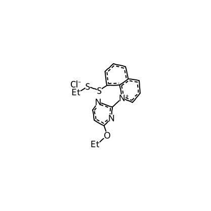 CCOc1ccnc(-[n+]2cccc3cccc(SSCC)c32)n1.[Cl-]